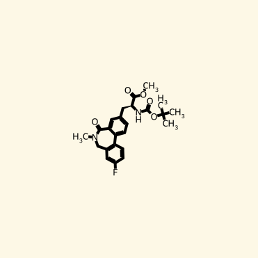 COC(=O)[C@H](Cc1ccc2c(c1)C(=O)N(C)Cc1cc(F)ccc1-2)NC(=O)OC(C)(C)C